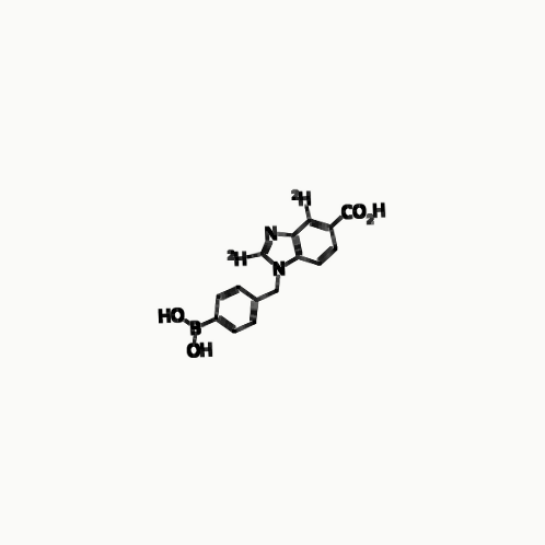 [2H]c1c(C(=O)O)ccc2c1nc([2H])n2Cc1ccc(B(O)O)cc1